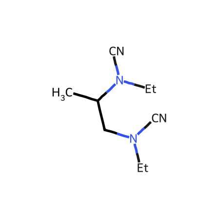 CCN(C#N)CC(C)N(C#N)CC